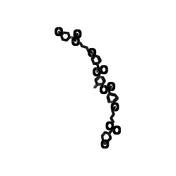 Cc1cc(OC(=O)c2ccc(OCCCCOC(=O)C3CCC4OC4C3)cc2)ccc1OC(=O)c1ccc(OCCCCOC(=O)C2CCC3OC3C2)cc1